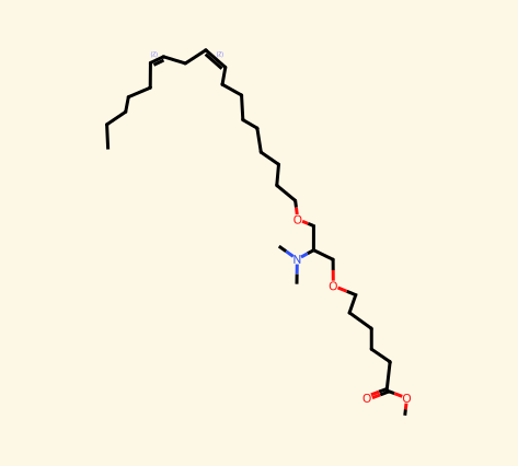 CCCCC/C=C\C/C=C\CCCCCCCCOCC(COCCCCCC(=O)OC)N(C)C